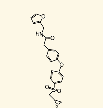 O=C(Cc1ccc(Oc2ccc(S(=O)(=O)CC3CS3)cc2)cc1)NCc1ccco1